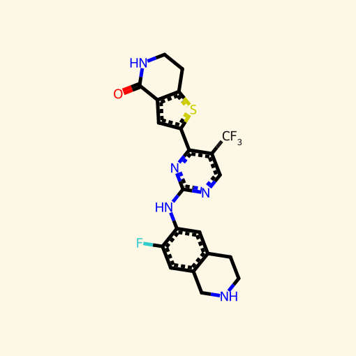 O=C1NCCc2sc(-c3nc(Nc4cc5c(cc4F)CNCC5)ncc3C(F)(F)F)cc21